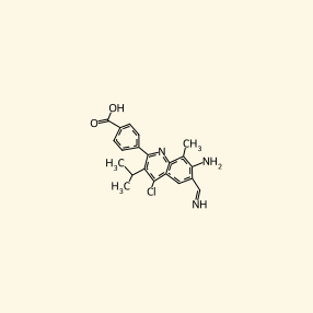 Cc1c(N)c(C=N)cc2c(Cl)c(C(C)C)c(-c3ccc(C(=O)O)cc3)nc12